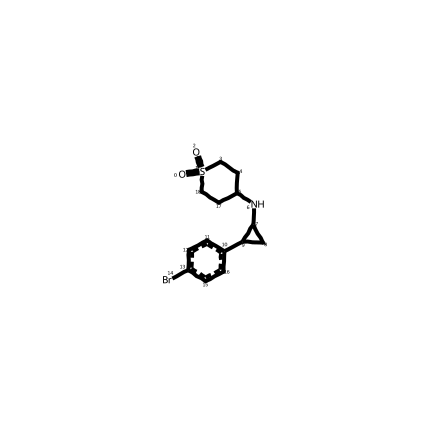 O=S1(=O)CCC(NC2CC2c2ccc(Br)cc2)CC1